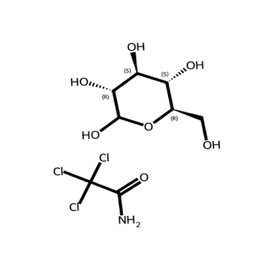 NC(=O)C(Cl)(Cl)Cl.OC[C@H]1OC(O)[C@H](O)[C@@H](O)[C@@H]1O